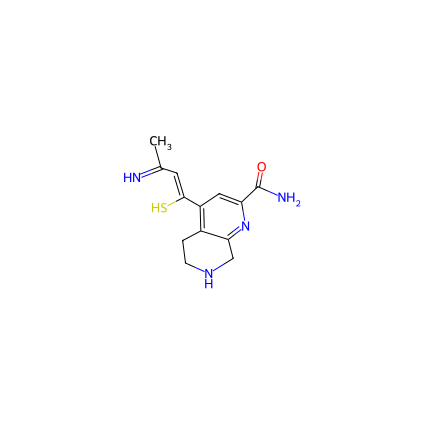 CC(=N)/C=C(\S)c1cc(C(N)=O)nc2c1CCNC2